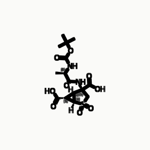 C[C@@H](NC(=O)OC(C)(C)C)C(=O)N[C@@]1(C(=O)O)CS(=O)(=O)[C@H]2[C@H](C(=O)O)[C@H]21